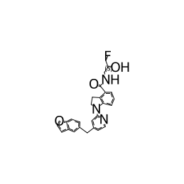 O=C(NC[C@H](O)CF)c1cccc2c1CCN2c1cc(Cc2ccc3occc3c2)ccn1